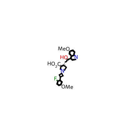 COc1ccc(F)c(C2CC(N3CC[C@@H](CC[C@H](O)c4ccnc5ccc(OC)cc45)[C@@H](C(=O)O)C3)C2)c1